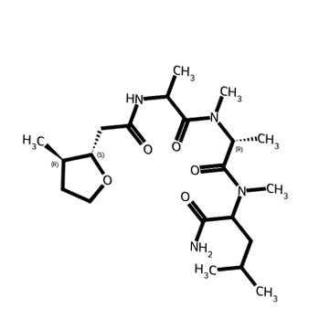 CC(C)CC(C(N)=O)N(C)C(=O)[C@@H](C)N(C)C(=O)C(C)NC(=O)C[C@@H]1OCC[C@H]1C